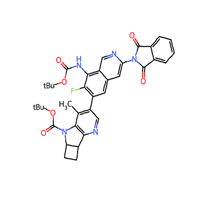 Cc1c(-c2cc3cc(N4C(=O)c5ccccc5C4=O)ncc3c(NC(=O)OC(C)(C)C)c2F)cnc2c1N(C(=O)OC(C)(C)C)C1CCC21